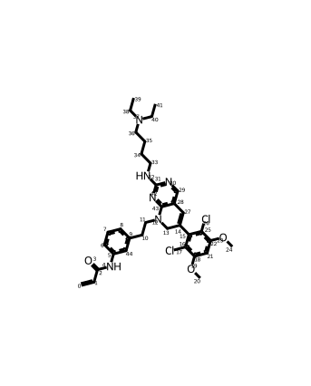 C=CC(=O)Nc1cccc(CCN2CC(c3c(Cl)c(OC)cc(OC)c3Cl)=Cc3cnc(NCCCCN(CC)CC)nc32)c1